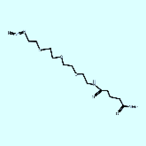 CNC(=O)CCCC(=O)NCCOCCOCCOCCN=[N+]=[N-]